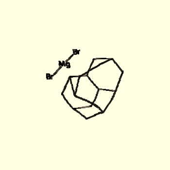 C1C2CC3C4CC5CC(C14)C(C2)C3C5.[Br][Mg][Br]